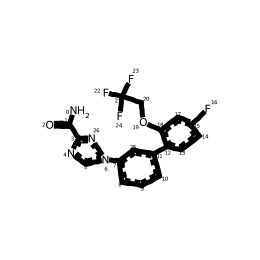 NC(=O)c1ncn(-c2cccc(-c3ccc(F)cc3OCC(F)(F)F)c2)n1